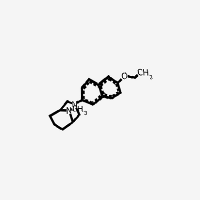 CCOc1ccc2cc(N3CC4CCCC(C3)N4C)ccc2c1